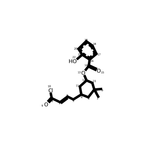 CC1(C)CC(C/C=C/C(=O)Cl)CC(OC(=O)c2ccccc2O)C1